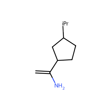 C=C(N)C1CCC(C(C)C)C1